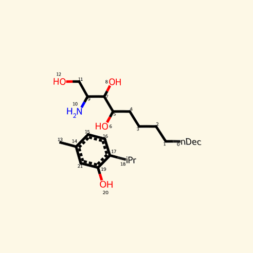 CCCCCCCCCCCCCCC(O)C(O)C(N)CO.Cc1ccc(C(C)C)c(O)c1